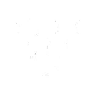 COc1cc2ccccc2c(-c2ccccc2)c1C